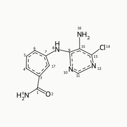 NC(=O)c1cccc(Nc2ncnc(Cl)c2N)c1